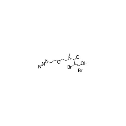 CN(CCOCCN=[N+]=[N-])C(=O)/C(Br)=C(\O)Br